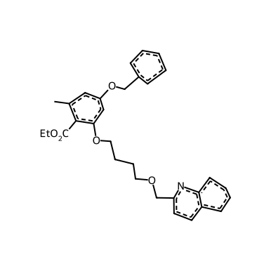 CCOC(=O)c1c(C)cc(OCc2ccccc2)cc1OCCCCOCc1ccc2ccccc2n1